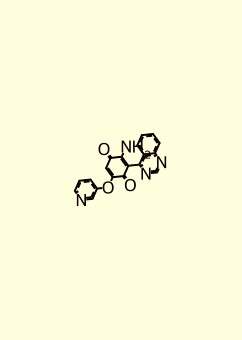 NC1=C(c2ncnc3ccccc23)C(=O)C(Oc2cccnc2)=CC1=O